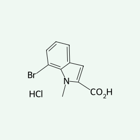 Cl.Cn1c(C(=O)O)cc2cccc(Br)c21